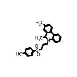 Cc1ccc2c(c1)C(C)N(C=CCS(=O)(=O)c1ccc(O)cc1)c1ccccc1-2